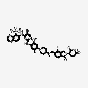 COc1cc(N2CCC(N(C)Cc3ccc4c(c3F)CN(C3CCC(=O)NC3=O)C4=O)CC2)c(C)cc1Nc1ncc(Br)c(Nc2ccc3nccnc3c2P(=O)(OC)OC)n1